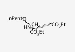 CCCCCOCCNC(C)(CCCCCCC(=O)OCC)C(=O)OCC